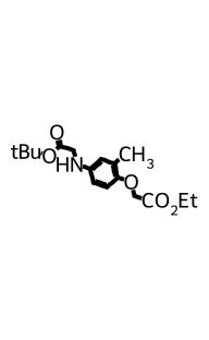 CCOC(=O)COc1ccc(NCC(=O)OC(C)(C)C)cc1C